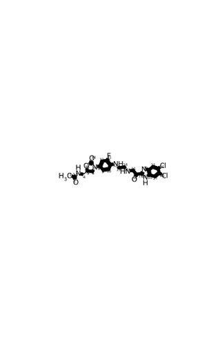 CC(=O)NC[C@H]1CN(c2ccc(NCCNCC(=O)c3nc4cc(Cl)c(Cl)cc4[nH]3)c(F)c2)C(=O)O1